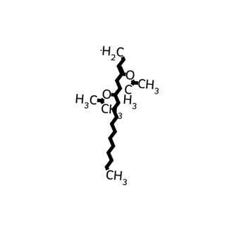 [CH2]CC=C(CCC(CCCCCCCCCCC)OC(C)C)OC(C)C